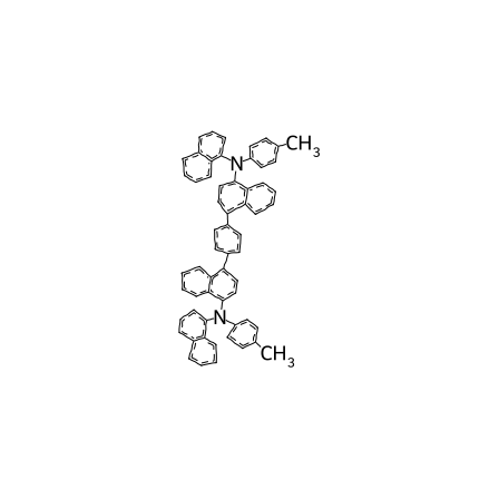 Cc1ccc(N(c2cccc3ccccc23)c2ccc(-c3ccc(-c4ccc(N(c5ccc(C)cc5)c5cccc6ccccc56)c5ccccc45)cc3)c3ccccc23)cc1